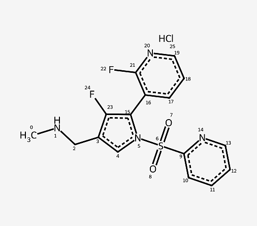 CNCc1cn(S(=O)(=O)c2ccccn2)c(-c2cccnc2F)c1F.Cl